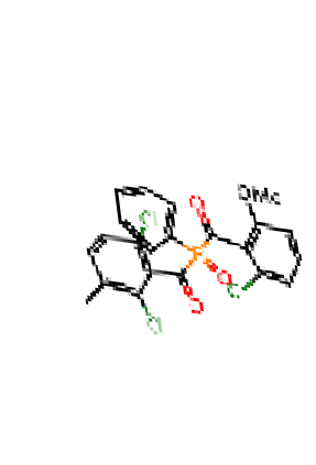 COc1cccc(Cl)c1C(=O)P(=O)(C(=O)c1c(Cl)ccc(C)c1Cl)c1ccccc1